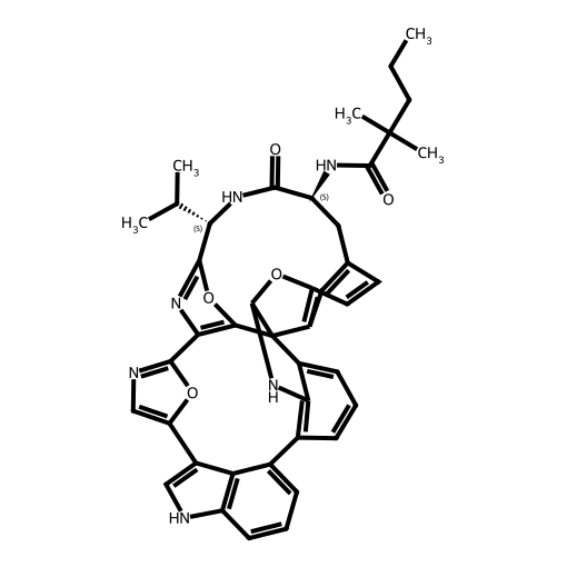 CCCC(C)(C)C(=O)N[C@H]1Cc2ccc3c(c2)C24c5cccc(c5NC2O3)-c2cccc3[nH]cc(c23)-c2cnc(o2)-c2nc(oc24)[C@H](C(C)C)NC1=O